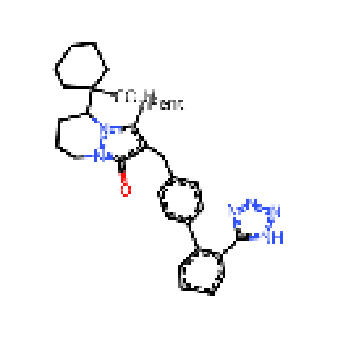 CCCCCc1c(Cc2ccc(-c3ccccc3-c3nnn[nH]3)cc2)c(=O)n2n1C(C1(C(=O)O)CCCCC1)CCC2